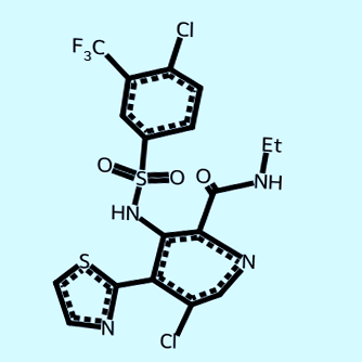 CCNC(=O)c1ncc(Cl)c(-c2nccs2)c1NS(=O)(=O)c1ccc(Cl)c(C(F)(F)F)c1